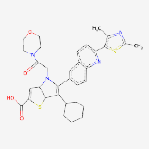 Cc1nc(C)c(-c2ccc3cc(C4=C(C5CCCCC5)C5SC(C(=O)O)=CC5N4CC(=O)N4CCOCC4)ccc3n2)s1